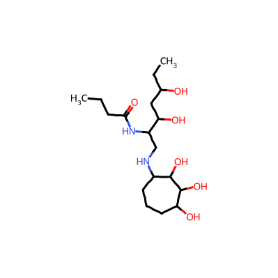 CCCC(=O)NC(CNC1CCCC(O)C(O)C1O)C(O)CC(O)CC